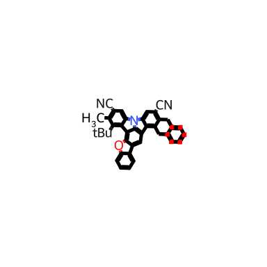 Cc1c(C#N)cc2c(c1C(C)(C)C)c1c3oc4ccccc4c3cc3c4c5c(c(C#N)cc4n2c31)C1c2ccccc2C5c2ccccc21